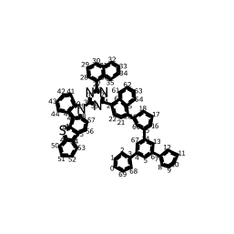 c1ccc(-c2cc(-c3ccccc3)cc(-c3cccc(-c4ccc(-c5nc(-c6cccc7ccccc67)nc(-n6c7ccccc7c7c8sc9ccccc9c8ccc76)n5)c5ccccc45)c3)c2)cc1